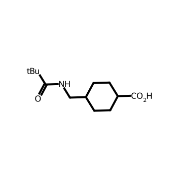 CC(C)(C)C(=O)NCC1CCC(C(=O)O)CC1